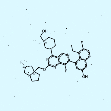 CCc1c(F)ccc2cc(O)cc(-c3ncc4c(N5CCC[C@](C)(CO)C5)nc(OC[C@@]56CCCN5C[C@H](F)C6)nc4c3F)c12